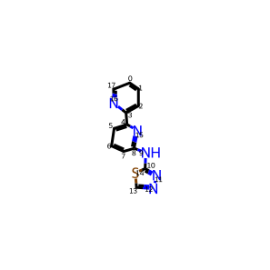 c1ccc(-c2cccc(Nc3nncs3)n2)nc1